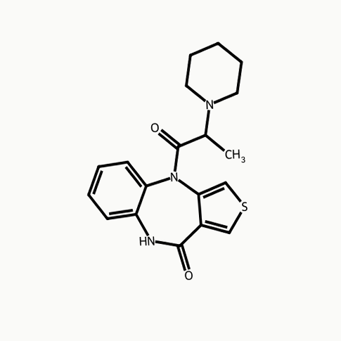 CC(C(=O)N1c2ccccc2NC(=O)c2cscc21)N1CCCCC1